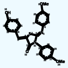 COc1ccc(/N=C2\S/C(=C\c3ccc(O)cc3)C(=O)N2c2ccc(OC)cc2)cc1